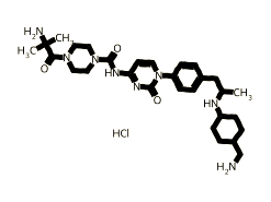 CC(Cc1ccc(-n2ccc(NC(=O)N3CCN(C(=O)C(C)(C)N)CC3)nc2=O)cc1)NC1CCC(CN)CC1.Cl